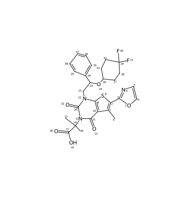 Cc1c(-c2ncco2)sc2c1c(=O)n(C(C)(C)C(=O)O)c(=O)n2CC(OC1CCC(F)(F)CC1)c1ccccc1